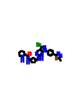 Cc1nnc(-c2ccc(-n3nc(Br)c4cnc(N[C@@H]5CC[C@@H](NC(=O)[C@H]6CCCCN6)C5)nc43)cc2)s1